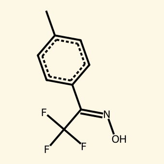 Cc1ccc(/C(=N/O)C(F)(F)F)cc1